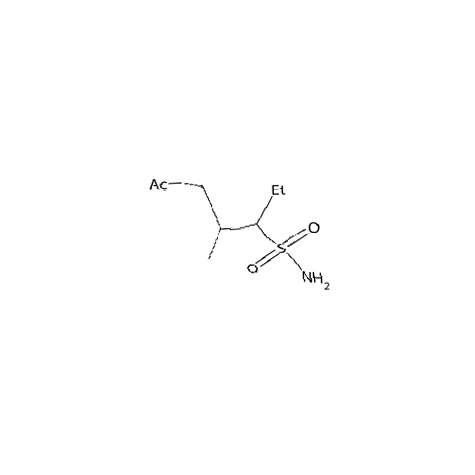 CCC(C(C)CC(C)=O)S(N)(=O)=O